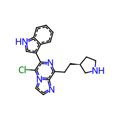 Clc1c(-c2c[nH]c3ccccc23)nc(CC[C@H]2CCNC2)c2nccn12